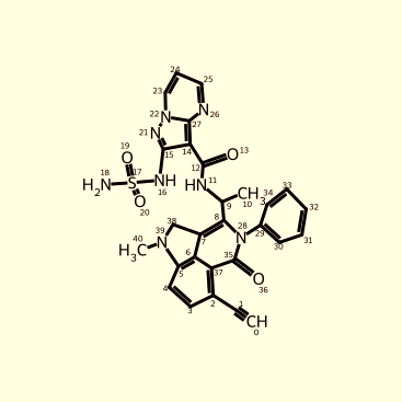 C#Cc1ccc2c3c(c(C(C)NC(=O)c4c(NS(N)(=O)=O)nn5cccnc45)n(-c4ccccc4)c(=O)c13)CN2C